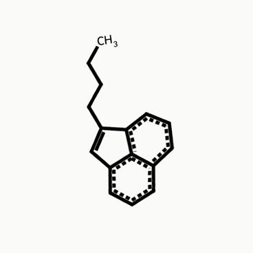 CCCCC1=Cc2cccc3cccc1c23